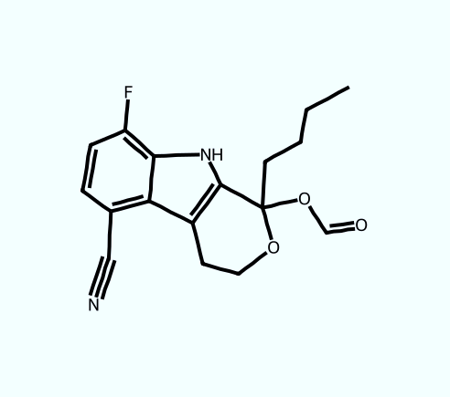 CCCCC1(OC=O)OCCc2c1[nH]c1c(F)ccc(C#N)c21